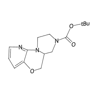 CC(C)(C)OC(=O)N1CCN2c3ncccc3OCC2C1